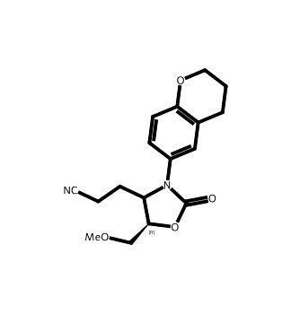 COC[C@@H]1OC(=O)N(c2ccc3c(c2)CCCO3)C1CCC#N